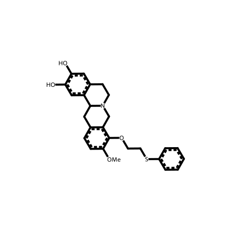 COc1ccc2c(c1OCCSc1ccccc1)CN1CCc3cc(O)c(O)cc3C1C2